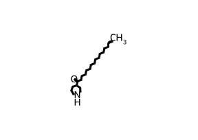 CC=CCCCCCCCCCCCCCC(=O)C1CCCNCC1